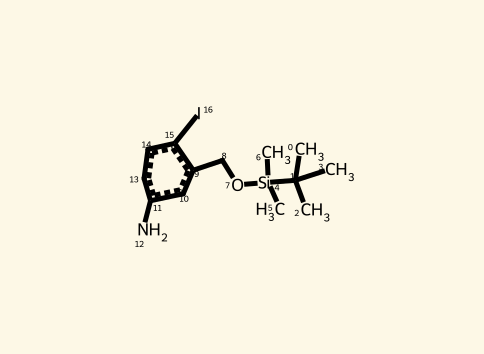 CC(C)(C)[Si](C)(C)OCc1cc(N)ccc1I